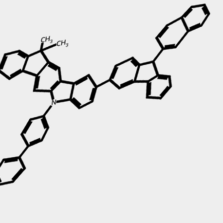 CC1(C)c2ccccc2-c2cc3c(cc21)c1cc(-c2ccc4c(c2)-c2ccccc2C4c2ccc4ccccc4c2)ccc1n3-c1ccc(-c2ccccc2)cc1